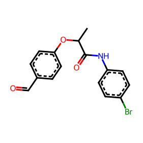 CC(Oc1ccc(C=O)cc1)C(=O)Nc1ccc(Br)cc1